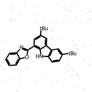 CC(C)(C)c1ccc2[nH]c3c(-c4nc5ccccc5o4)cc(C(C)(C)C)cc3c2c1